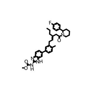 CCC/C(=C\Cc1cc(-c2ccc3nc(NC(=O)OC)[nH]c3c2)ccc1C)CC(=O)N1CCCCC1c1ccc(F)cc1